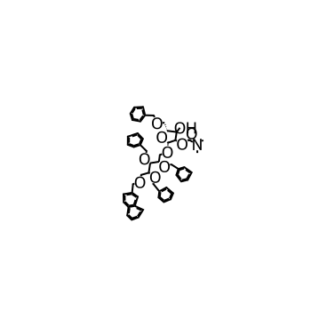 CN(C)C(=O)OC1C(O)[C@@H](COCc2ccccc2)O[C@H]1OCC(OCc1ccccc1)C(OCc1ccccc1)C(COCc1ccc2ccccc2c1)OCc1ccccc1